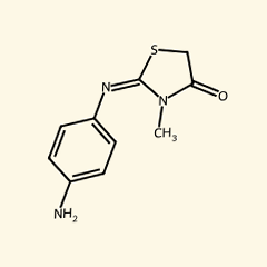 CN1C(=O)CSC1=Nc1ccc(N)cc1